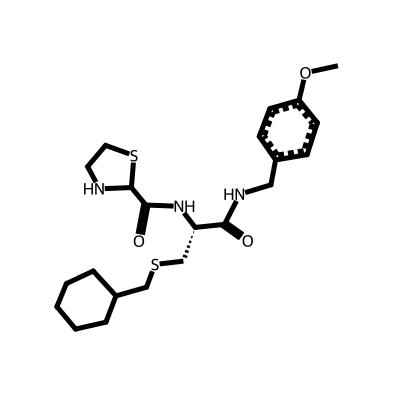 COc1ccc(CNC(=O)[C@H](CSCC2CCCCC2)NC(=O)C2NCCS2)cc1